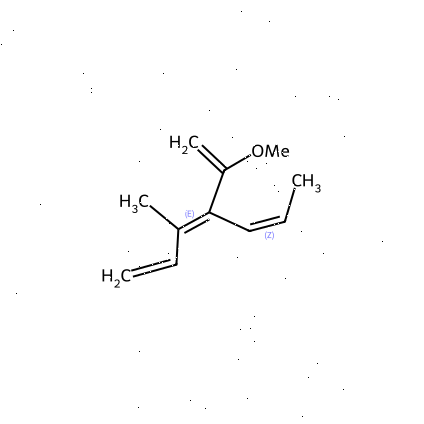 C=C/C(C)=C(\C=C/C)C(=C)OC